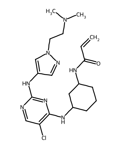 C=CC(=O)NC1CCCC(Nc2nc(Nc3cnn(CCN(C)C)c3)ncc2Cl)C1